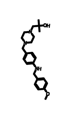 COc1ccc(CNc2ccc(CN3CCN(CC(C)(C)O)CC3)cc2)cc1